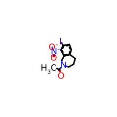 CC(=O)N1CCCc2ccc(I)c([N+](=O)[O-])c2C1